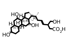 C[C@H](CC=CC(CO)CC(=O)O)[C@H]1CC[C@H]2[C@@H]3[C@H](O)C[C@@H]4C[C@H](O)CC[C@]4(C)[C@H]3C[C@H](O)[C@]12C